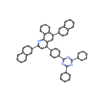 c1ccc(-c2nc(-c3ccccc3)nc(-c3ccc(-c4cc(-c5ccc6ccccc6c5)nc5c4cc(-c4ccc6ccccc6c4)c4ccccc45)cc3)n2)cc1